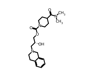 CN(C)C(=O)C1CCN(C(=O)OC[C@H](O)CN2CCc3ccccc3C2)CC1